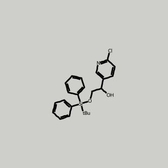 CC(C)(C)[Si](OCC(O)c1ccc(Cl)nc1)(c1ccccc1)c1ccccc1